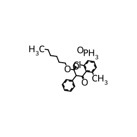 CCCCCCOC(=O)C(C(=O)c1c(C)cccc1Cl)c1ccccc1.O=[PH3]